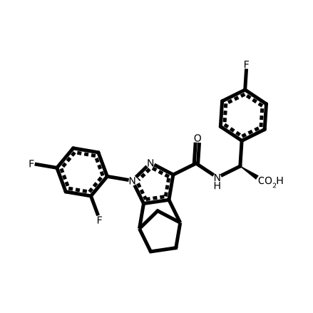 O=C(N[C@H](C(=O)O)c1ccc(F)cc1)c1nn(-c2ccc(F)cc2F)c2c1C1CCC2C1